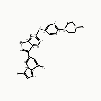 Cc1cnc2c(F)cc(-c3c[nH]c4nc(Nc5ccc(N6CCN(C)CC6)nc5)ncc34)cn12